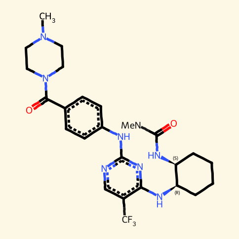 CNC(=O)N[C@H]1CCCC[C@H]1Nc1nc(Nc2ccc(C(=O)N3CCN(C)CC3)cc2)ncc1C(F)(F)F